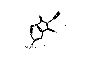 C#CN1C(=O)c2ccc(N)cc2C1=O